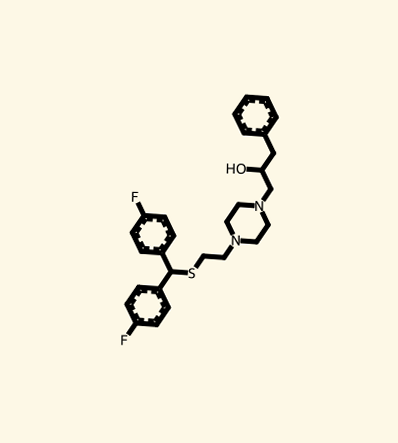 OC(Cc1ccccc1)CN1CCN(CCSC(c2ccc(F)cc2)c2ccc(F)cc2)CC1